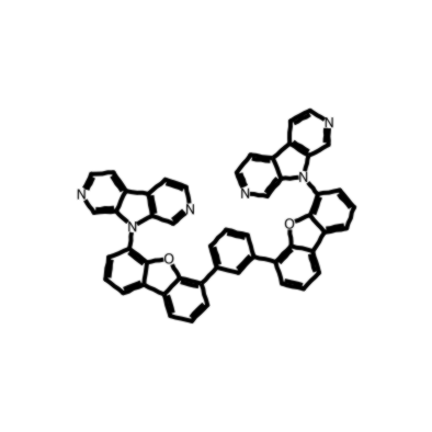 c1cc(-c2cccc3c2oc2c(-n4c5cnccc5c5ccncc54)cccc23)cc(-c2cccc3c2oc2c(-n4c5cnccc5c5ccncc54)cccc23)c1